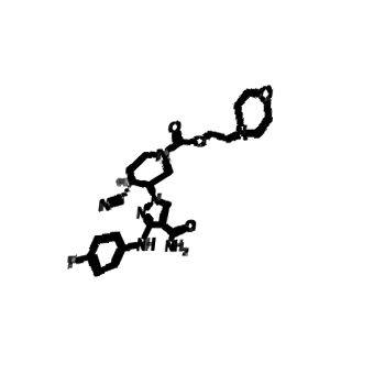 N#C[C@@H]1CCN(C(=O)OCCN2CCOCC2)CC1n1cc(C(N)=O)c(Nc2ccc(F)cc2)n1